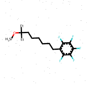 CCC(CC)(CCCCCCc1c(F)c(F)c(F)c(F)c1F)O[SiH3]